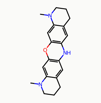 CN1CCCc2cc3c(cc21)Oc1cc2c(cc1N3)CCCN2C